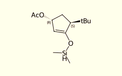 CC(=O)O[C@H]1C=C(O[SiH](C)C)[C@H](C(C)(C)C)C1